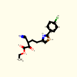 CCOC(=O)C(=O)C(C#N)CCc1csc(-c2ccc(Br)cc2)n1